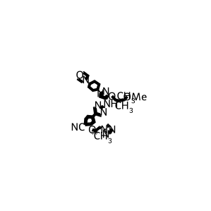 COCC(C)(C)COc1nn([C@H]2CC[C@H](N3CCOCC3)CC2)cc1Nc1ncc(-c2ccc(C#N)c(O[C@@H](C)Cn3cncn3)c2)cn1